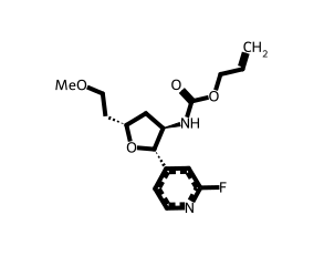 C=CCOC(=O)N[C@@H]1C[C@@H](CCOC)O[C@H]1c1ccnc(F)c1